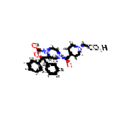 O=C(O)CN1CCC(C(=O)N2CCN3C(=O)OC(c4ccccc4)(c4ccccc4)C3C2)CC1